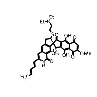 C/C=C/C=C/c1cc2cc3c(c(O)c2c(=O)[nH]1)[C@@]1(C(=O)c2c(O)c4c(c(O)c2C1=O)C(=O)C(OC)=CC4=O)C(SCCN(CC)CC)C3